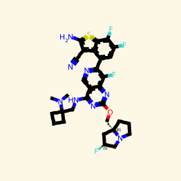 CN(C)C1(CNc2nc(OC[C@]34CCCN3C[C@@H](F)C4)nc3c(F)c(-c4cc(F)c(F)c5sc(N)c(C#N)c45)ncc23)CCC1